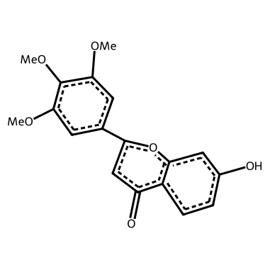 COc1cc(-c2cc(=O)c3ccc(O)cc3o2)cc(OC)c1OC